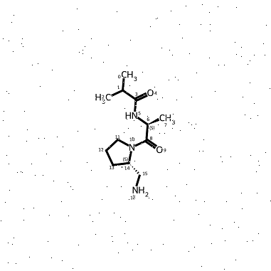 CC(C)C(=O)N[C@@H](C)C(=O)N1CCC[C@H]1CN